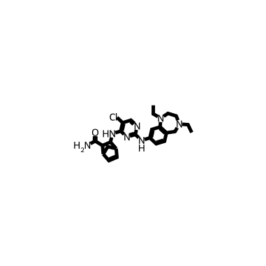 CCN1CCN(CC)c2cc(Nc3ncc(Cl)c(NC4C5C=CC(C5)C4C(N)=O)n3)ccc2C1